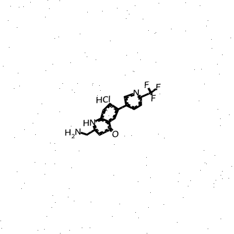 Cl.NCc1cc(=O)c2cc(-c3ccc(C(F)(F)F)nc3)ccc2[nH]1